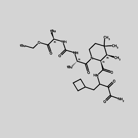 C[C@H]1[C@@H](C(=O)NC(CC2CCC2)C(=O)C(N)=O)N(C(=O)[C@@H](NC(=O)N[C@@H](C(=O)OCC(C)(C)C)C(C)(C)C)C(C)(C)C)CCC1(C)C